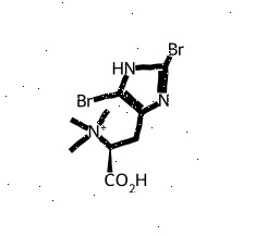 C[N+](C)(C)[C@@H](Cc1nc(Br)[nH]c1Br)C(=O)O